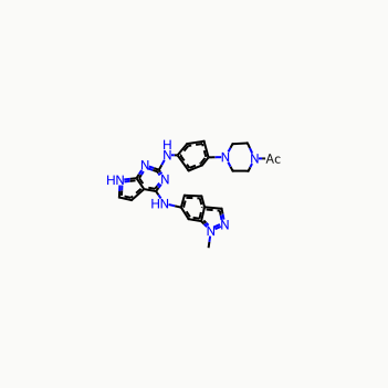 CC(=O)N1CCN(c2ccc(Nc3nc(Nc4ccc5cnn(C)c5c4)c4cc[nH]c4n3)cc2)CC1